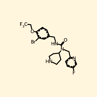 O=C(NCc1ccc(OCC(F)(F)F)c(Br)c1)N(Cc1ccc(F)cn1)C1CCNCC1